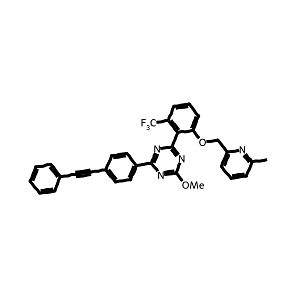 COc1nc(-c2ccc(C#Cc3ccccc3)cc2)nc(-c2c(OCc3cccc(C)n3)cccc2C(F)(F)F)n1